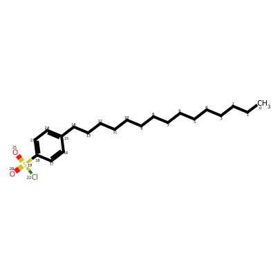 CCCCCCCCCCCCCCCc1ccc(S(=O)(=O)Cl)cc1